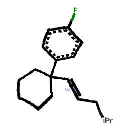 CC(C)C/C=C/C1(c2ccc(F)cc2)CCCCC1